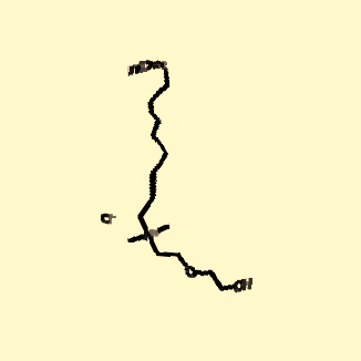 CCCCCCCCCCCCCCCCCC[N+](C)(C)CCOCCO.[Cl-]